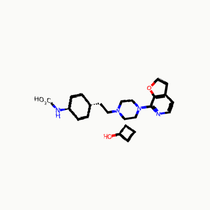 O=C(O)N[C@H]1CC[C@H](CCN2CCN(c3nccc4c3OCC4)CC2)CC1.OC1CCC1